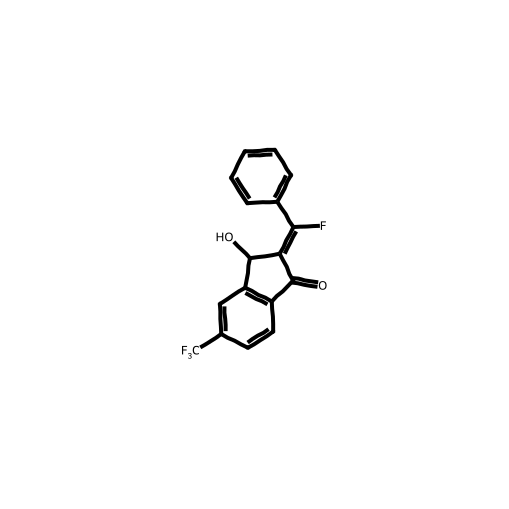 O=C1C(=C(F)c2ccccc2)C(O)c2cc(C(F)(F)F)ccc21